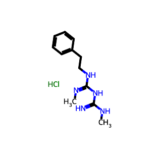 CN=C(NCCc1ccccc1)NC(=N)NC.Cl